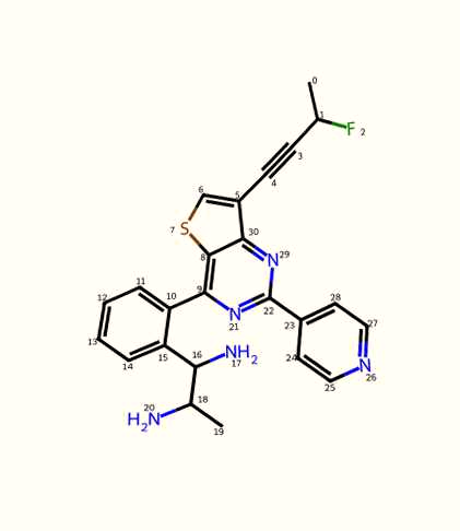 CC(F)C#Cc1csc2c(-c3ccccc3C(N)C(C)N)nc(-c3ccncc3)nc12